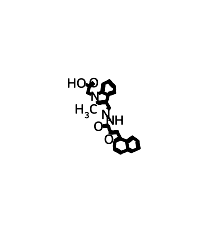 Cc1c(C=NNC(=O)c2cc3c(ccc4ccccc43)o2)c2ccccc2n1CC(=O)O